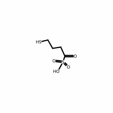 O=C(CCCS)S(=O)(=O)O